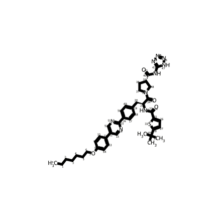 CCCCCCCOc1ccc(-c2cnc(-c3ccc(C[C@H](NC(=O)c4ccc(C(C)(C)C)s4)C(=O)N4CC[C@H](C(=O)Nc5nnn[nH]5)C4)cc3)nc2)cc1